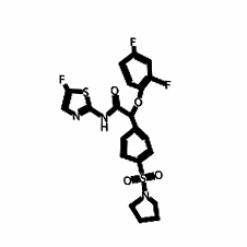 O=C(Nc1ncc(F)s1)C(Oc1ccc(F)cc1F)c1ccc(S(=O)(=O)N2CCCC2)cc1